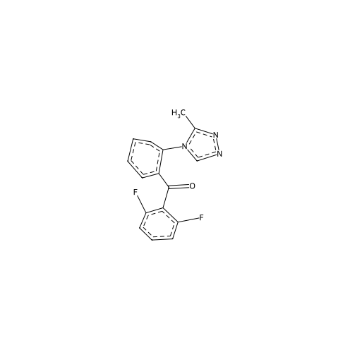 Cc1nncn1-c1ccccc1C(=O)c1c(F)cccc1F